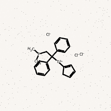 CP(C)C[C]([Ti+3][C]1=CC=CC1)(c1ccccc1)c1ccccc1.[Cl-].[Cl-].[Cl-]